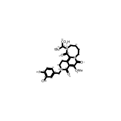 COc1c2c(c3n(c1=O)CCCCN(C(C(=O)O)C(C)(C)C)C3=O)CCN(Cc1ccc(F)c(Cl)c1)C2=O